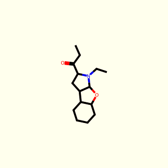 CCC(=O)C1CC2C3CCCCC3OC2N1CC